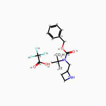 CCC(C)(C(=O)O)N(CC1CCN1)C(=O)OCc1ccccc1.O=C(O)C(F)(F)F